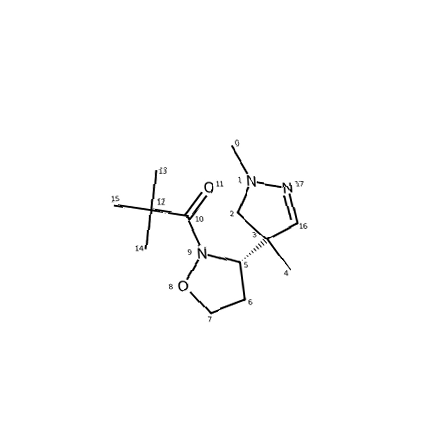 CN1CC(C)([C@@H]2CCON2C(=O)C(C)(C)C)C=N1